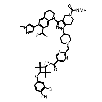 CNC(=O)N1CCc2c(c(N3CCCc4cc(-c5cnn(C)c5)c(C(F)F)cc43)nn2C2CCN(Cc3ncc(C(=O)NC4C(C)(C)C(Oc5ccc(C#N)c(Cl)c5)C4(C)C)cn3)CC2)C1